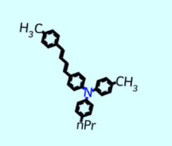 CCCc1ccc(N(c2ccc(C)cc2)c2ccc(/C=C/C=C/c3ccc(C)cc3)cc2)cc1